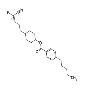 CCCCCc1ccc(C(=O)OC2CCC(CC/C=C(/F)C#N)CC2)cc1